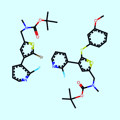 CN(Cc1cc(-c2cccnc2F)c(Br)s1)C(=O)OC(C)(C)C.COc1cccc(Sc2sc(CN(C)C(=O)OC(C)(C)C)cc2-c2cccnc2F)c1